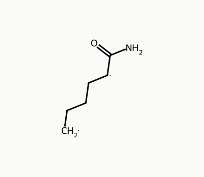 [CH2]CCC[CH]C(N)=O